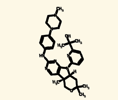 CN1CCN(c2ccc(Nc3ncc4c(n3)N(c3cccc(C(C)(C)O)n3)[C@@H]3CC(C)(C)OC[C@]43C)cc2)CC1